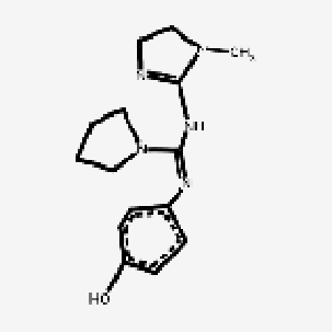 CN1CCN=C1N/C(=N/c1ccc(O)cc1)N1CCCC1